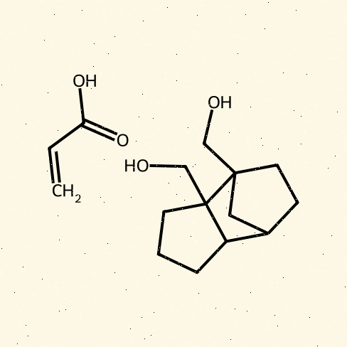 C=CC(=O)O.OCC12CCC(C1)C1CCCC12CO